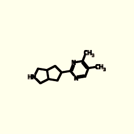 Cc1cnc(C2CC3CNCC3C2)nc1C